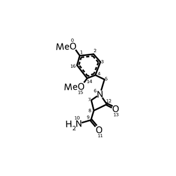 COc1ccc(CN2CC(C(N)=O)C2=O)c(OC)c1